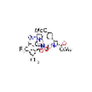 COC(=O)c1cc(-c2ccc(OC)c(-c3ccc(N4CCC4)nc3CN3C(=O)O[C@H](c4cc(C(F)(F)F)cc(C(F)(F)F)c4)[C@@H]3C)c2)n(C)c1